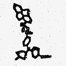 COc1ccc([S+](c2ccc(C)cc2)c2ccc(OC)cc2)cc1.O=S(=O)([O-])c1ccc2ccc3cccc4ccc1c2c34